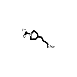 CNCCCC1CCN(C(=O)C(C)C)CC1